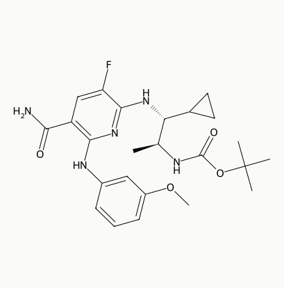 COc1cccc(Nc2nc(N[C@H](C3CC3)[C@H](C)NC(=O)OC(C)(C)C)c(F)cc2C(N)=O)c1